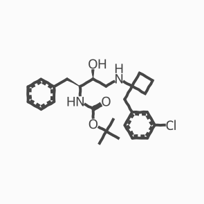 CC(C)(C)OC(=O)N[C@@H](Cc1ccccc1)[C@@H](O)CNC1(Cc2cccc(Cl)c2)CCC1